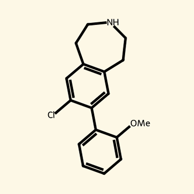 COc1ccccc1-c1cc2c(cc1Cl)CCNCC2